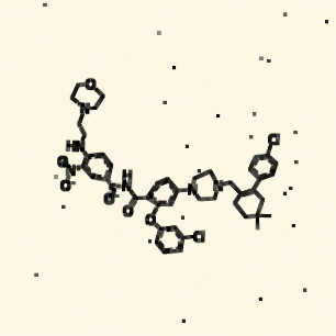 CC1(C)CCC(CN2CCN(c3ccc(C(=O)N[S+]([O-])c4ccc(NCCN5CCOCC5)c([N+](=O)[O-])c4)c(Oc4cccc(Cl)c4)c3)CC2)=C(c2ccc(Cl)cc2)C1